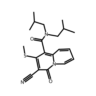 CSc1c(C#N)c(=O)n2ccccc2c1C(=O)N(CC(C)C)CC(C)C